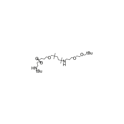 CC(C)(C)COCCOCCCNC(C)(C)CCC(C)(C)COCCCS(=O)(=O)CCNC(C)(C)C